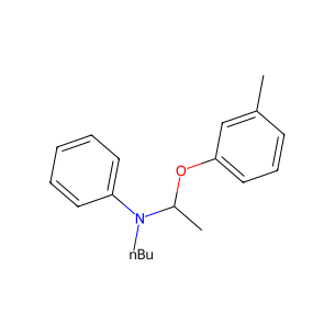 CCCCN(c1ccccc1)C(C)Oc1cccc(C)c1